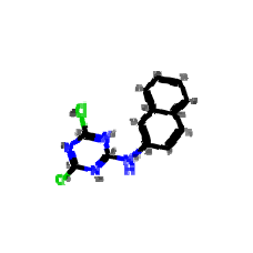 Clc1nc(Cl)nc(Nc2ccc3ccccc3c2)n1